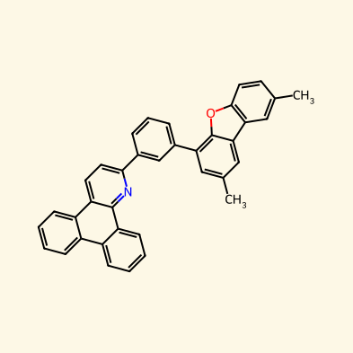 Cc1ccc2oc3c(-c4cccc(-c5ccc6c7ccccc7c7ccccc7c6n5)c4)cc(C)cc3c2c1